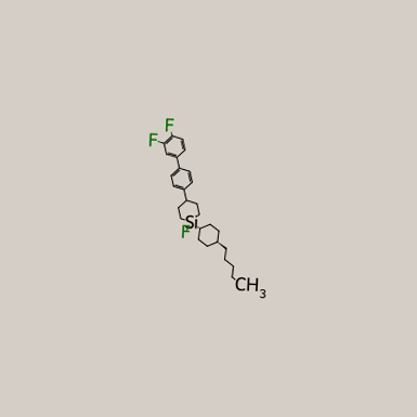 CCCCC[C@H]1CC[C@H]([Si]2(F)CCC(c3ccc(-c4ccc(F)c(F)c4)cc3)CC2)CC1